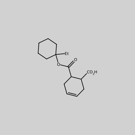 CCC1(OC(=O)C2CC=CCC2C(=O)O)CCCCC1